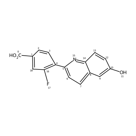 O=C(O)c1ccc(-c2ccc3cc(O)ccc3n2)c(F)c1